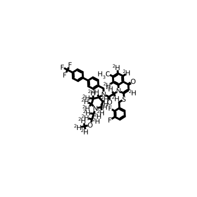 [2H]c1c(C)c([2H])c2c(c1[2H])c(=O)c([2H])c(SCc1cccc(F)c1F)n2C([2H])([2H])C(=O)N(Cc1ccc(-c2ccc(C(F)(F)F)cc2)cc1)C1([2H])C([2H])([2H])C([2H])([2H])N(C([2H])([2H])C([2H])([2H])OC([2H])([2H])[2H])C([2H])([2H])C1([2H])[2H]